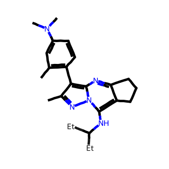 CCC(CC)Nc1c2c(nc3c(-c4ccc(N(C)C)cc4C)c(C)nn13)CCC2